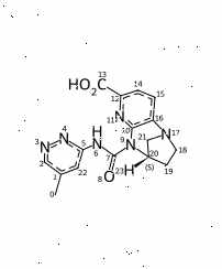 Cc1cnnc(NC(=O)N2c3nc(C(=O)O)ccc3N3CC[C@H]2C3)c1